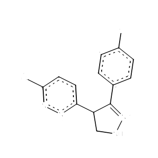 Clc1ccc(C2=NNCC2c2ccc(Cl)nn2)cc1